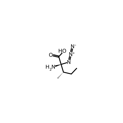 CC[C@H](C)[C@@](N)(N=[N+]=[N-])C(=O)O